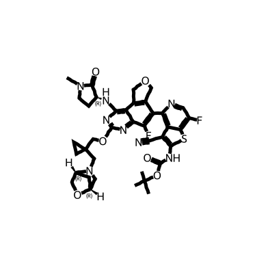 CN1CC[C@@H](Nc2nc(OCC3(CN4C[C@H]5C[C@@H]4CO5)CC3)nc3c(F)c(-c4ncc(F)c5sc(NC(=O)OC(C)(C)C)c(C#N)c45)c4c(c23)COC4)C1=O